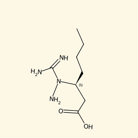 CCCC[C@@H](CC(=O)O)N(N)C(=N)N